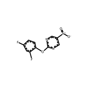 O=[N+]([O-])c1cnc(Oc2ccc(F)cc2F)nc1